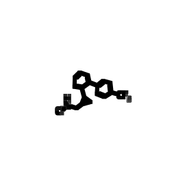 FC(F)(F)c1ccc(-c2ccccc2C2CC2CNCl)cc1